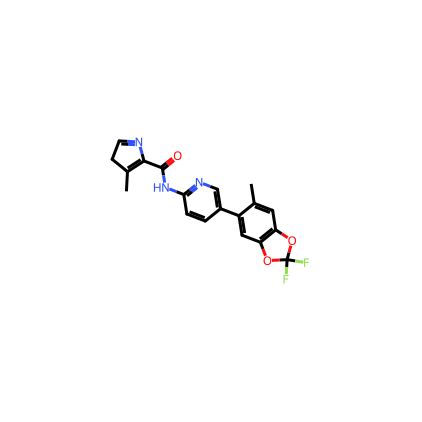 CC1=C(C(=O)Nc2ccc(-c3cc4c(cc3C)OC(F)(F)O4)cn2)N=CC1